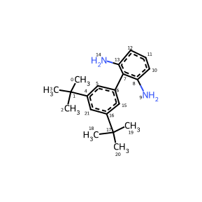 CC(C)(C)c1cc(-c2c(N)cccc2N)cc(C(C)(C)C)c1